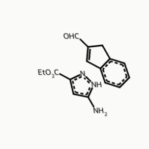 CCOC(=O)c1cc(N)[nH]n1.O=CC1=Cc2ccccc2C1